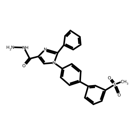 CS(=O)(=O)c1cccc(-c2ccc(-n3cc(C(=O)NN)nc3-c3ccccc3)cc2)c1